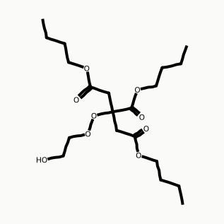 CCCCOC(=O)CC(CC(=O)OCCCC)(OOCCO)C(=O)OCCCC